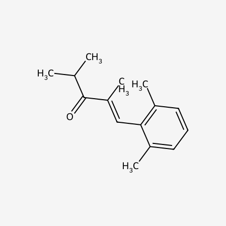 CC(=Cc1c(C)cccc1C)C(=O)C(C)C